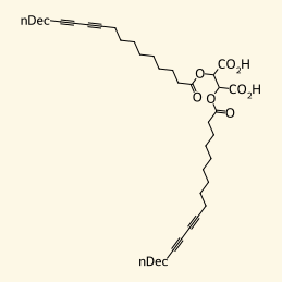 CCCCCCCCCCC#CC#CCCCCCCCCC(=O)OC(C(=O)O)C(OC(=O)CCCCCCCCC#CC#CCCCCCCCCCC)C(=O)O